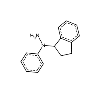 NN(c1ccccc1)C1CCc2ccccc21